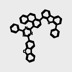 c1ccc(-c2nc(-c3ccc4c(c3)oc3ccccc34)nc(-c3ccc(-c4cccc5c4sc4c(-c6ccccc6)cccc45)c4ccc5ccccc5c34)n2)cc1